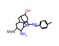 CNC1CC2CC3CCC(CNCc4ccc(C)cc4)(CC3O)C23C(C1N)N3C